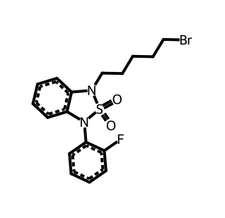 O=S1(=O)N(CCCCCBr)c2ccccc2N1c1ccccc1F